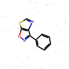 c1ccc(-c2noc3scnc23)cc1